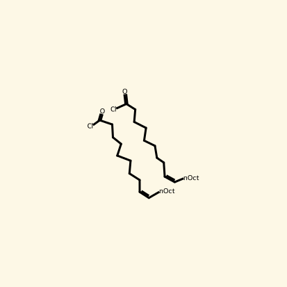 CCCCCCCC/C=C\CCCCCCCC(=O)Cl.CCCCCCCC/C=C\CCCCCCCC(=O)Cl